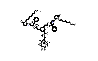 O=C(O)CCCCCCN1C(=O)CC[C@@H]1/C=C/[C@@H](OC(=O)Cc1cc(CC(=O)O[C@H](/C=C/[C@H]2CCC(=O)N2CCCCCCC(=O)O)C(F)(F)c2ccccc2)cc(C(=O)NCCCC(O)(P(=O)([O-])O)P(=O)([O-])O)c1)C(F)(F)c1ccccc1.[Na+].[Na+]